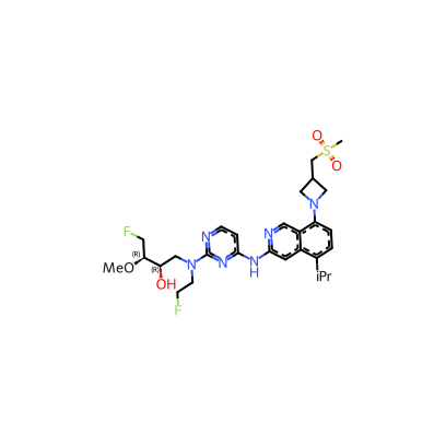 CO[C@@H](CF)[C@H](O)CN(CCF)c1nccc(Nc2cc3c(C(C)C)ccc(N4CC(CS(C)(=O)=O)C4)c3cn2)n1